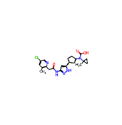 Cc1cc(Cl)cnc1CC(=O)Nc1cc(C2CCC(N(C(=O)O)C3(C)CC3)C2)[nH]n1